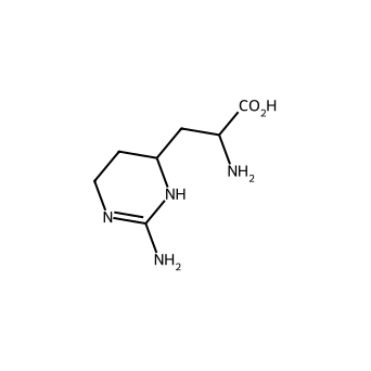 NC1=NCCC(CC(N)C(=O)O)N1